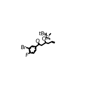 C=CCC(CC(=O)c1ccc(F)c(Br)c1)O[Si](C)(C)C(C)(C)C